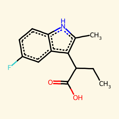 CCC(C(=O)O)c1c(C)[nH]c2ccc(F)cc12